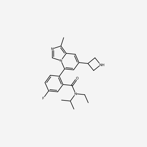 CCN(C(=O)c1cc(F)ccc1-c1cc(C2CNC2)cc2c(C)ncn12)C(C)C